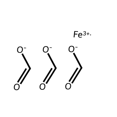 O=C[O-].O=C[O-].O=C[O-].[Fe+3]